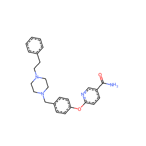 NC(=O)c1ccc(Oc2ccc(CN3CCN(CCc4ccccc4)CC3)cc2)nc1